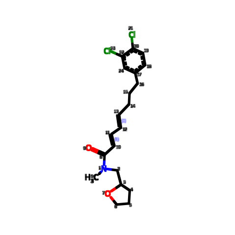 CN(CC1CCCO1)C(=O)/C=C/C=C/CCCc1ccc(Cl)c(Cl)c1